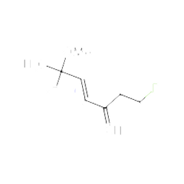 C=C(/C=C/C(C)(CC)OC)CCF